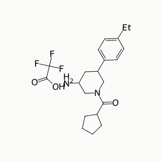 CCc1ccc(C2CC(N)CN(C(=O)C3CCCC3)C2)cc1.O=C(O)C(F)(F)F